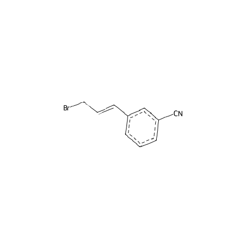 N#Cc1cccc(/C=C/CBr)c1